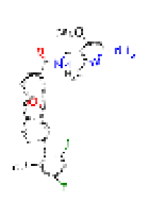 COc1cc(N)nc(C)c1CNC(=O)c1ccc2c(c1)c1oc2c2ccc(-c3c(C)cc(F)cc3F)cc21